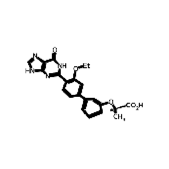 CCOc1cc(-c2cccc(O[C@H](C)C(=O)O)c2)ccc1-c1nc2[nH]cnc2c(=O)[nH]1